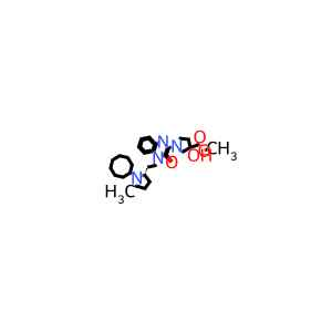 COC(=O)C1(O)CCN(c2nc3ccccc3n(CC[C@@H]3CCC(C)N3C3CCCCCCC3)c2=O)C1